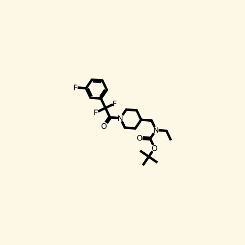 CCN(CC1CCN(C(=O)C(F)(F)c2cccc(F)c2)CC1)C(=O)OC(C)(C)C